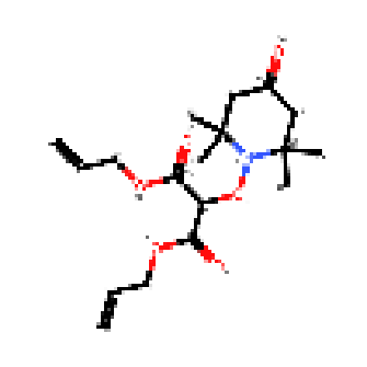 C=CCOC(=O)C(ON1C(C)(C)CC(=O)CC1(C)C)C(=O)OCC=C